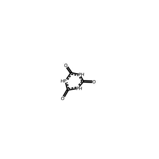 O=c1[pH]c(=O)[pH]c(=O)[pH]1